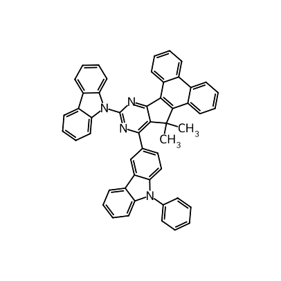 CC1(C)c2c(-c3ccc4c(c3)c3ccccc3n4-c3ccccc3)nc(-n3c4ccccc4c4ccccc43)nc2-c2c1c1ccccc1c1ccccc21